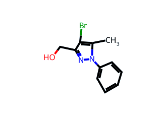 Cc1c(Br)c(CO)nn1-c1ccccc1